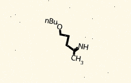 CCCCOCCCC(C)=N